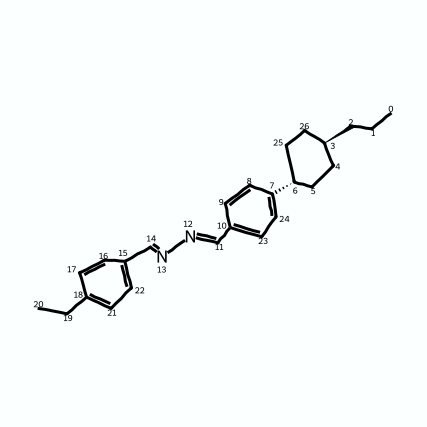 CCC[C@H]1CC[C@H](c2ccc(C=NN=Cc3ccc(CC)cc3)cc2)CC1